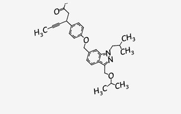 CC#CC(CC(=O)O)c1ccc(OCc2ccc3c(COC(C)C)nn(CC(C)C)c3c2)cc1